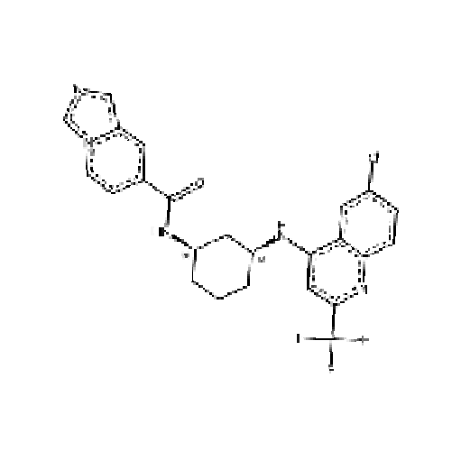 O=C(N[C@@H]1CCC[C@H](Nc2cc(C(F)(F)F)nc3ccc(Cl)cc23)C1)c1ccn2cncc2c1